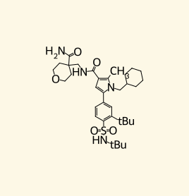 Cc1c(C(=O)NCC2(C(N)=O)CCOCC2)cc(-c2ccc(S(=O)(=O)NC(C)(C)C)c(C(C)(C)C)c2)n1CC1CCCCC1